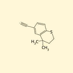 [C]#Cc1ccc2c(c1)C(C)(C)CCS2